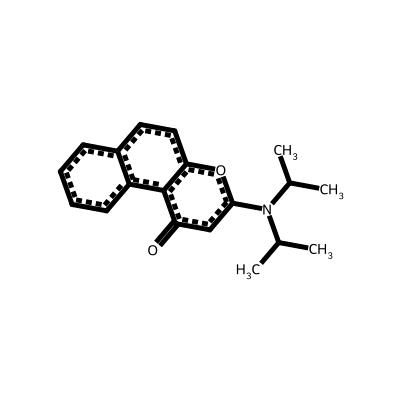 CC(C)N(c1cc(=O)c2c(ccc3ccccc32)o1)C(C)C